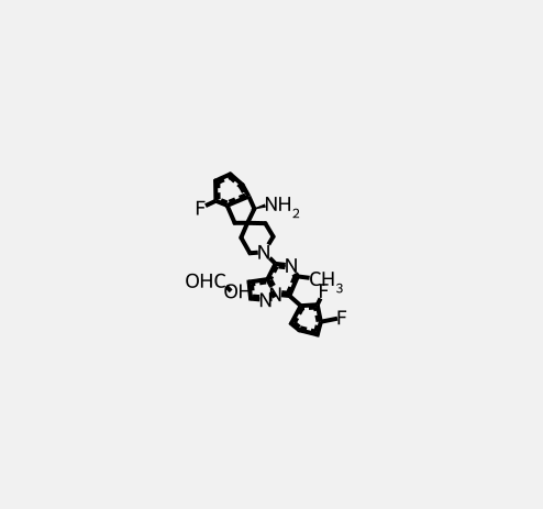 Cc1nc(N2CCC3(CC2)Cc2c(F)cccc2[C@H]3N)c2ccnn2c1-c1cccc(F)c1F.O=CO